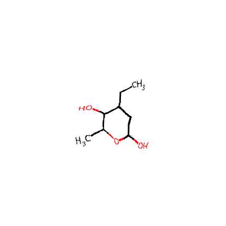 CCC1CC(O)OC(C)C1O